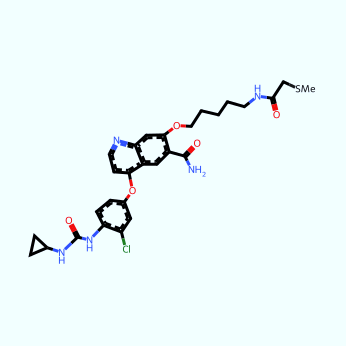 CSCC(=O)NCCCCCOc1cc2nccc(Oc3ccc(NC(=O)NC4CC4)c(Cl)c3)c2cc1C(N)=O